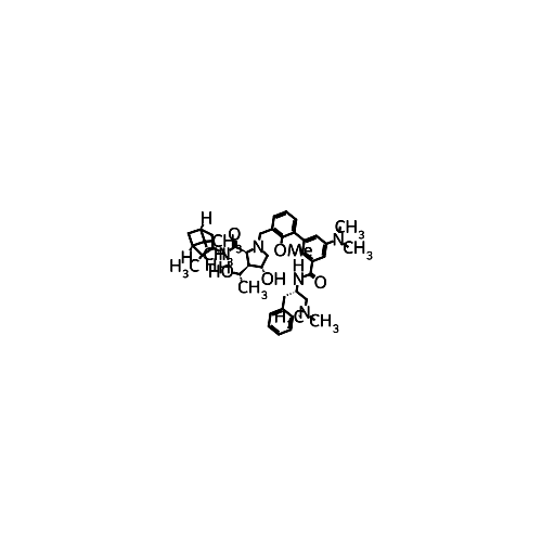 COc1c(CN2C[C@H](O)[C@@H]([C@H](C)O)[C@H]2C(=O)NC2C[C@H]3C[C@@H]([C@@H]2C)C3(C)C)cccc1-c1cc(C(=O)N[C@@H](Cc2ccccc2)CN(C)C)cc(N(C)C)c1